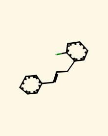 Clc1ccccc1CC=Cc1ccccc1